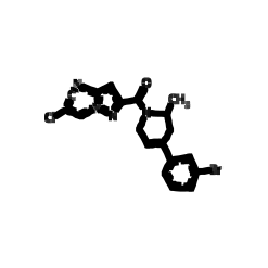 CC1CC(c2cccc(Br)c2)=CCN1C(=O)c1cc2ncc(Cl)cn2n1